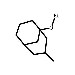 CCOC12CCCC(CC(C)C1)C2